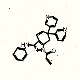 C=CC(=O)n1nc(Nc2ccccc2)c2c1CC(c1cccnc1)(c1cccnc1)C=C2